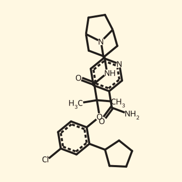 CC(C)(Oc1ccc(Cl)cc1C1CCCC1)C(=O)NC1CC2CCC(C1)N2c1ccc(C(N)=O)cn1